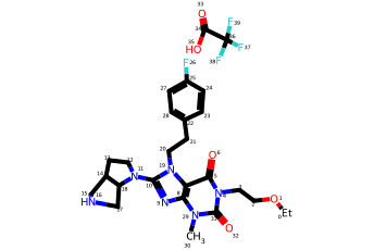 CCOCCn1c(=O)c2c(nc(N3CCC4CNCC43)n2CCc2ccc(F)cc2)n(C)c1=O.O=C(O)C(F)(F)F